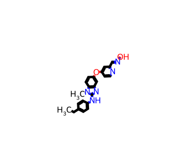 CCc1ccc(Nc2nc3cc(Oc4ccnc(C=NO)c4)ccc3n2C)cc1